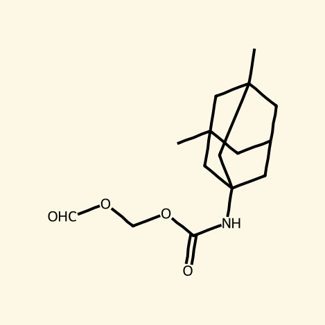 CC12CC3CC(C)(C1)CC(NC(=O)OCOC=O)(C3)C2